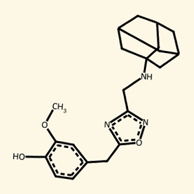 COc1cc(Cc2nc(CNC34CC5CC(CC(C5)C3)C4)no2)ccc1O